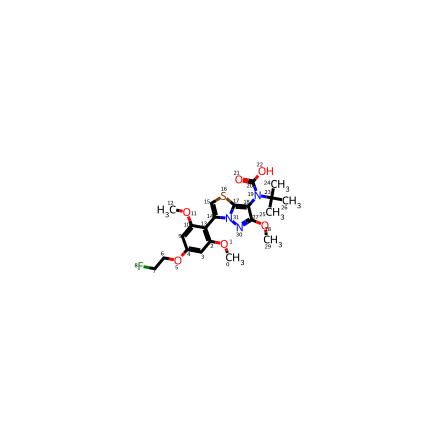 COc1cc(OCCF)cc(OC)c1-c1csc2c(N(C(=O)O)C(C)(C)C)c(OC)nn12